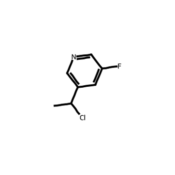 CC(Cl)c1cncc(F)c1